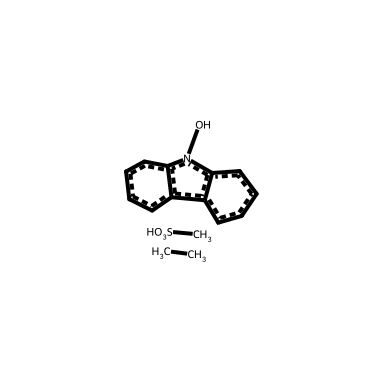 CC.CS(=O)(=O)O.On1c2ccccc2c2ccccc21